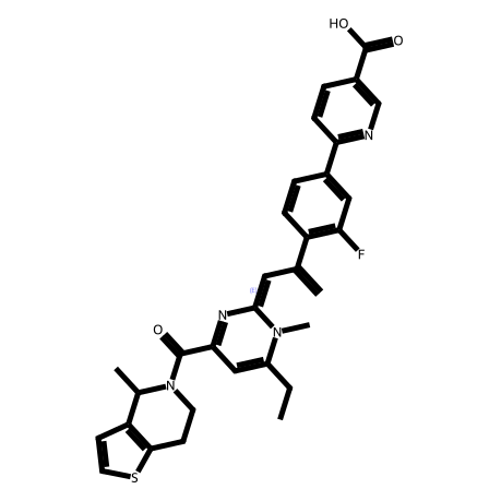 C=C(/C=C1/N=C(C(=O)N2CCc3sccc3C2C)C=C(CC)N1C)c1ccc(-c2ccc(C(=O)O)cn2)cc1F